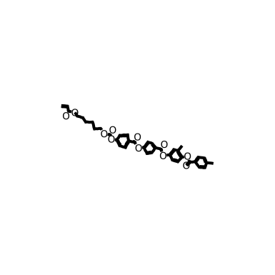 C=CC(=O)OCCCCCCOC(=O)Oc1ccc(C(=O)Oc2ccc(C(=O)Oc3ccc(OC(=O)c4ccc(C)cc4)c(C)c3)cc2)cc1